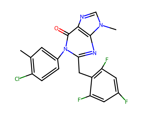 Cc1cc(-n2c(Cc3c(F)cc(F)cc3F)nc3c(ncn3C)c2=O)ccc1Cl